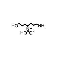 NCCCC(N)CCCO.O=CO